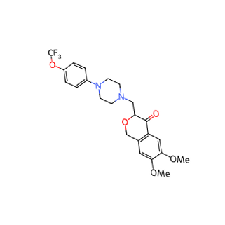 COc1cc2c(cc1OC)C(=O)C(CN1CCN(c3ccc(OC(F)(F)F)cc3)CC1)OC2